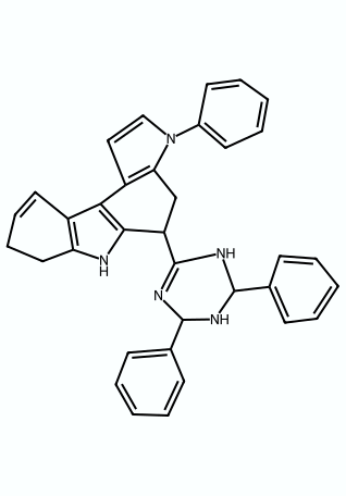 C1=Cc2c([nH]c3c2-c2ccn(-c4ccccc4)c2CC3C2=NC(c3ccccc3)NC(c3ccccc3)N2)CC1